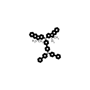 CC1(C)c2cc(N(c3ccc(-c4ccc(N(c5ccc(-c6ccccc6)cc5)c5ccc(-c6ccccc6)cc5)cc4)cc3)c3ccc4c(c3)C(C)(C)c3cc5ccccc5cc3-4)ccc2-c2cc3ccccc3cc21